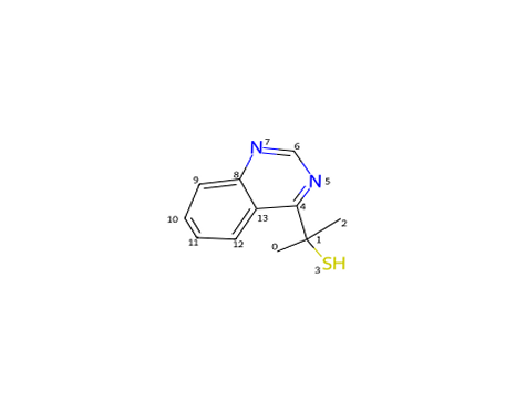 CC(C)(S)c1ncnc2ccccc12